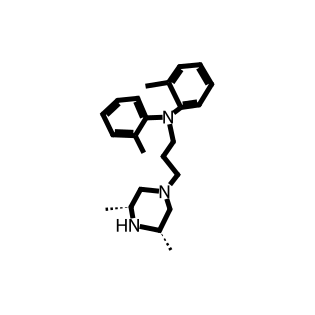 Cc1ccccc1N(CCCN1C[C@@H](C)N[C@@H](C)C1)c1ccccc1C